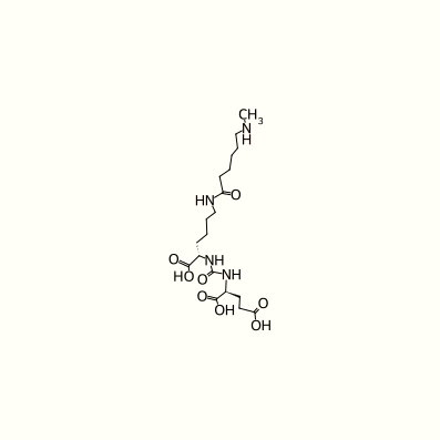 CNCCCCCC(=O)NCCCC[C@H](NC(=O)N[C@@H](CCC(=O)O)C(=O)O)C(=O)O